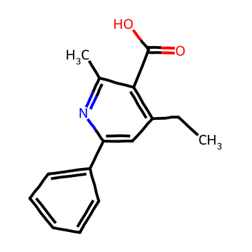 CCc1cc(-c2ccccc2)nc(C)c1C(=O)O